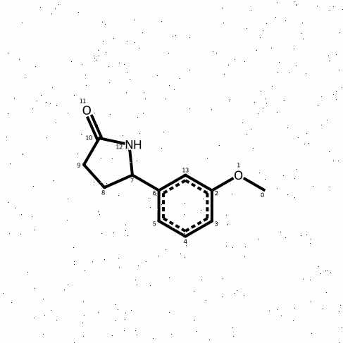 COc1cccc(C2CCC(=O)N2)c1